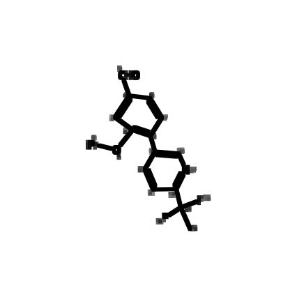 CC(C)Oc1cc(C=O)ccc1-c1ccc(C(C)(F)F)nc1